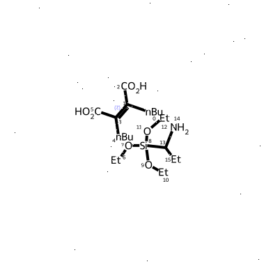 CCCC/C(C(=O)O)=C(\CCCC)C(=O)O.CCO[Si](OCC)(OCC)C(N)CC